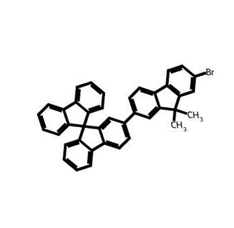 CC1(C)c2cc(Br)ccc2-c2ccc(-c3ccc4c(c3)C3(c5ccccc5-c5ccccc53)c3ccccc3-4)cc21